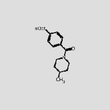 CCCCCCCCc1ccc(C(=O)N2CCC(C)CC2)cc1